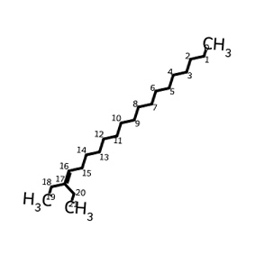 CCCCCCCCCCCCCCCCC=C(CC)CC